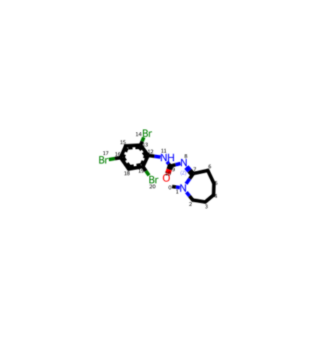 CN1CCCCC/C1=N/C(=O)Nc1c(Br)cc(Br)cc1Br